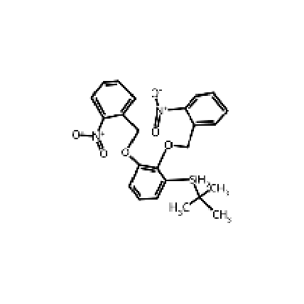 CC(C)(C)[SiH2]c1cccc(OCc2ccccc2[N+](=O)[O-])c1OCc1ccccc1[N+](=O)[O-]